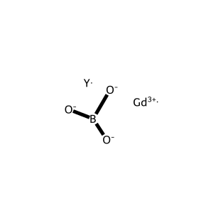 [Gd+3].[O-]B([O-])[O-].[Y]